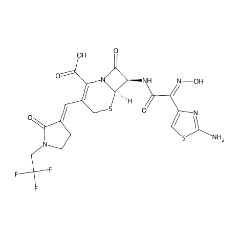 Nc1nc(C(=NO)C(=O)N[C@@H]2C(=O)N3C(C(=O)O)=C(C=C4CCN(CC(F)(F)F)C4=O)CS[C@H]23)cs1